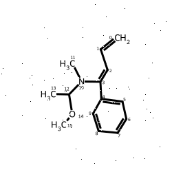 C=C/C=C(/c1ccccc1)N(C)C(C)OC